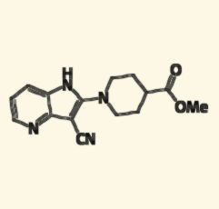 COC(=O)C1CCN(c2[nH]c3cccnc3c2C#N)CC1